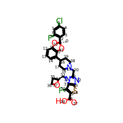 C[C@@]1(c2ccc(Cl)cc2F)Oc2cccc(C3CCN(Cc4nc5sc(C(=O)O)c(F)c5n4C[C@@H]4CCO4)CC3)c2O1